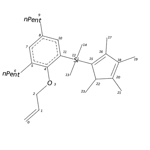 C=CCOc1c(CCCCC)cc(CCCCC)cc1[Si](C)(C)C1=C(C)C(C)=C(C)C1C